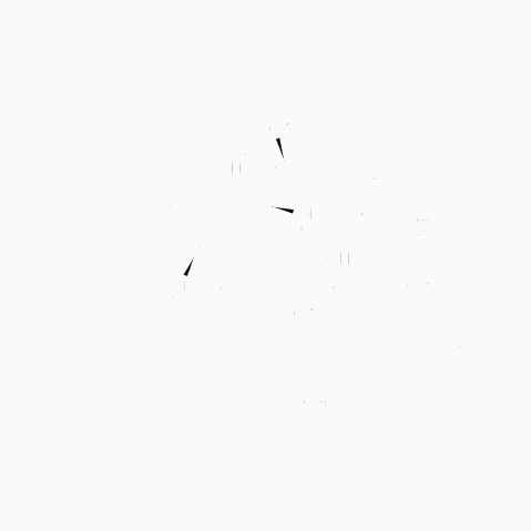 CC(=O)OC[C@]12CC[C@H]3[C@@H](CC=C4CC=CC(=O)[C@@]43C)[C@]1(O)[C@@H](OC(C)=O)C[C@@]2(O)C(C)(O)[C@H]1CC(CO)=C(C)C(=O)O1